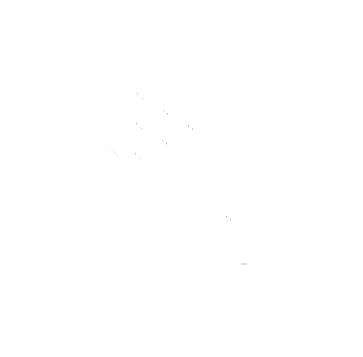 c1ccc(-c2ccc3c4ccccc4n(-c4ccc(-c5ccc6c7ccccc7n(-c7nc(-n8c9ccccc9c9ccccc98)nc(-n8c9ccccc9c9ccccc98)n7)c6c5)cc4)c3c2)cc1